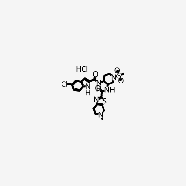 CN1CCc2nc(C(=O)NC3CN(S(C)(=O)=O)CCC3NC(=O)c3cc4cc(Cl)ccc4[nH]3)sc2C1.Cl